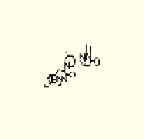 C[C@@H]1C[C@@H](c2ccc(=O)[nH]n2)CN(C(Cc2ccc(F)cn2)C(N)=O)C1